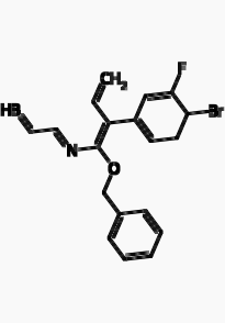 B=C/C=N/C(OCc1ccccc1)=C(\C=C)C1=CCC(Br)C(F)=C1